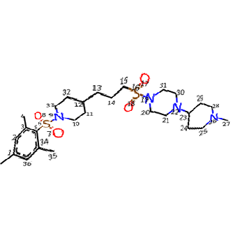 Cc1cc(C)c(S(=O)(=O)N2CCC(CCCS(=O)(=O)N3CCN(C4CCN(C)CC4)CC3)CC2)c(C)c1